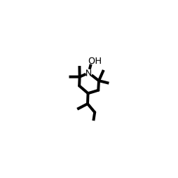 CCC(C)C1CC(C)(C)N(O)C(C)(C)C1